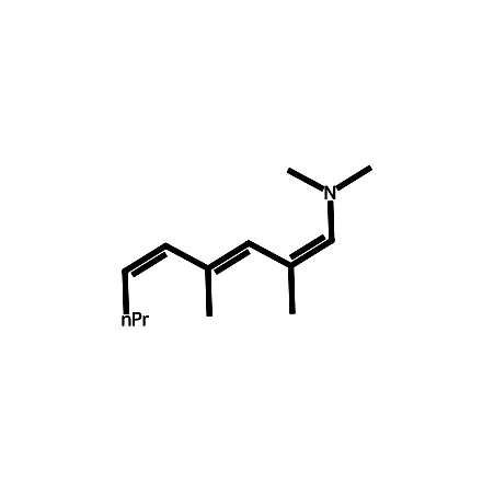 CCC\C=C/C(C)=C/C(C)=C\N(C)C